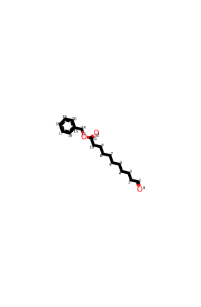 O=CCCCCCCCCCC(=O)OCc1ccccc1